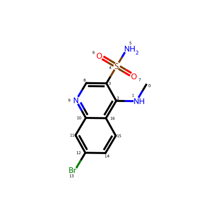 CNc1c(S(N)(=O)=O)cnc2cc(Br)ccc12